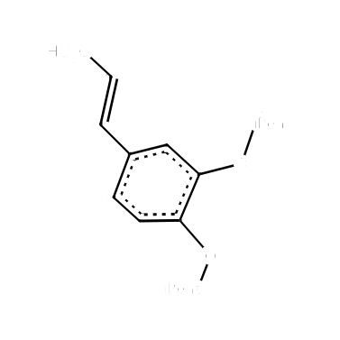 CCCC(C)Oc1ccc(/C=C/C(=O)O)cc1OC(C)CCC